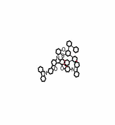 c1ccc(-c2ccccc2-c2cc3c(c(-c4ccccc4-c4ccccc4)c2)Oc2cccc4c2B3c2cc3c5cc(-n6c7ccccc7c7ccccc76)ccc5oc3c3c5c6oc7ccc(-n8c9ccccc9c9ccccc98)cc7c6ccc5n-4c23)cc1